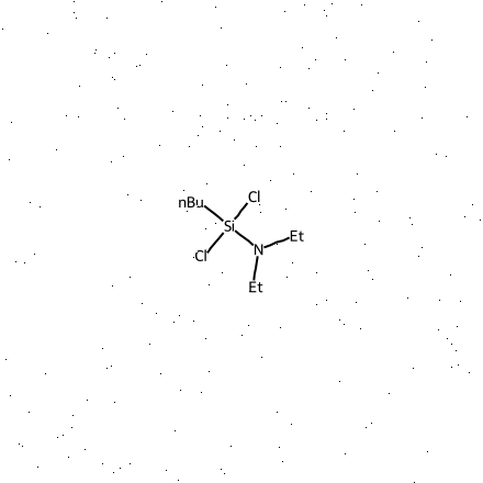 CCCC[Si](Cl)(Cl)N(CC)CC